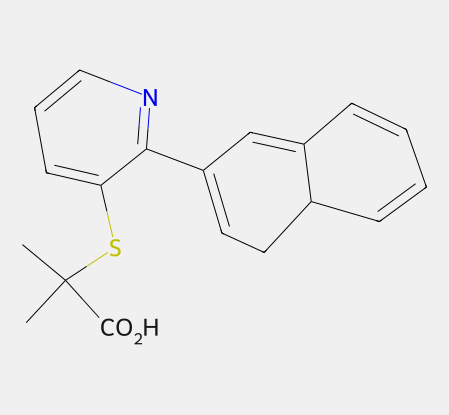 CC(C)(Sc1cccnc1C1=CCC2C=CC=CC2=C1)C(=O)O